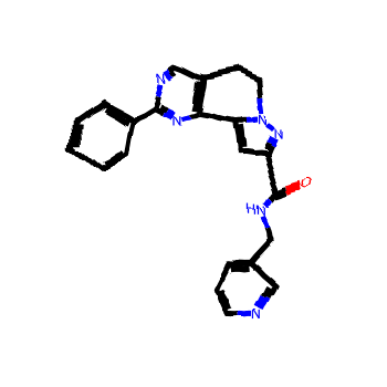 O=C(NCc1cccnc1)c1cc2n(n1)CCc1cnc(-c3ccccc3)nc1-2